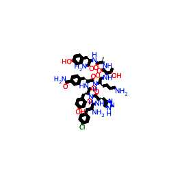 CC(O)C(NC(=O)[C@H](CCCCN)NC(=O)[C@@H](Cc1ccc(C(N)=O)cc1)NC(=O)[C@H](Cc1ccc(O)cc1)NC(=O)[C@H](Cc1c[nH]nn1)NC(=O)[C@@H](N)Cc1ccc(Cl)cc1)C(=O)N[C@@H](C)C(=O)N[C@H](Cc1ccc(O)cc1)C(N)=O